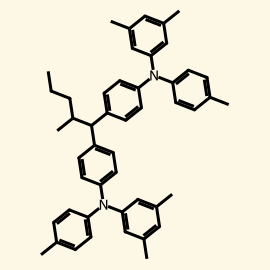 CCCC(C)C(c1ccc(N(c2ccc(C)cc2)c2cc(C)cc(C)c2)cc1)c1ccc(N(c2ccc(C)cc2)c2cc(C)cc(C)c2)cc1